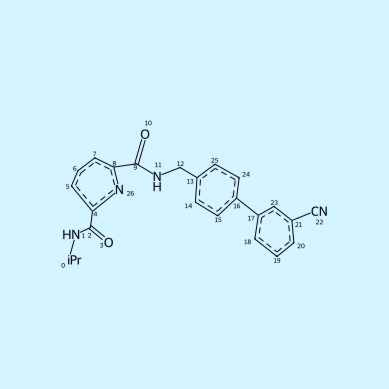 CC(C)NC(=O)c1cccc(C(=O)NCc2ccc(-c3cccc(C#N)c3)cc2)n1